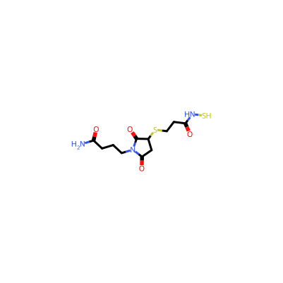 NC(=O)CCCN1C(=O)CC(SCCC(=O)NS)C1=O